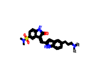 CCN(CC)CCCc1ccc2[nH]c(C=C3C(=O)Nc4ccc(S(=O)(=O)N(C)C)cc43)cc2c1